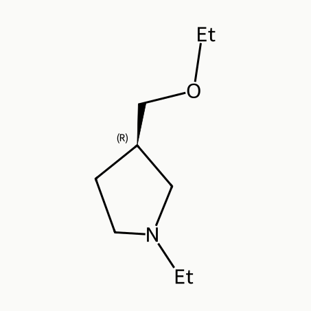 CCOC[C@@H]1CCN(CC)C1